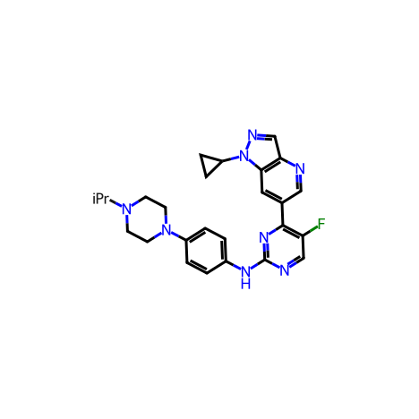 CC(C)N1CCN(c2ccc(Nc3ncc(F)c(-c4cnc5cnn(C6CC6)c5c4)n3)cc2)CC1